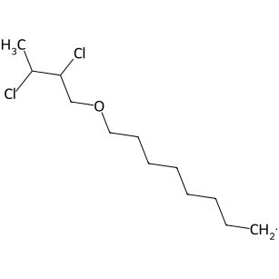 [CH2]CCCCCCCOCC(Cl)C(C)Cl